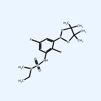 CCN(C)S(=O)(=O)Nc1cc(F)cc(B2OC(C)(C)C(C)(C)O2)c1F